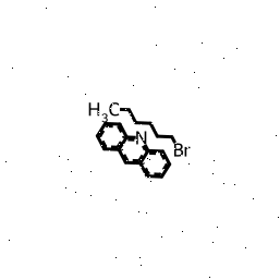 CCCCCCBr.c1ccc2nc3ccccc3cc2c1